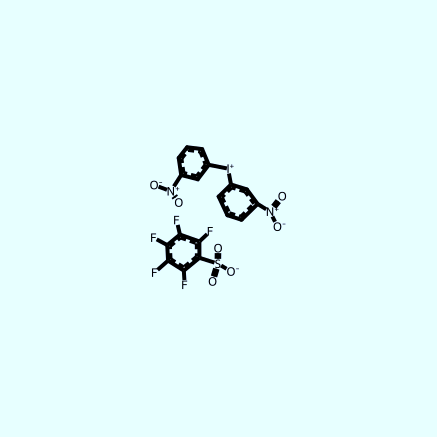 O=S(=O)([O-])c1c(F)c(F)c(F)c(F)c1F.O=[N+]([O-])c1cccc([I+]c2cccc([N+](=O)[O-])c2)c1